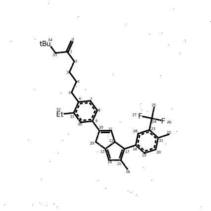 C=C(CCCCc1ccc(C2=CC3C(=CC(C)=C3c3ccc(C)c(C(C)(F)F)c3)C2)cc1CC)CC(C)(C)C